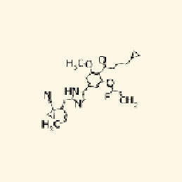 C=CC(F)Oc1cc(-c2cnc(/C=C(\C=C/C)C3(C#N)CC3)[nH]2)cc(OC)c1C(=O)CCCC1CC1